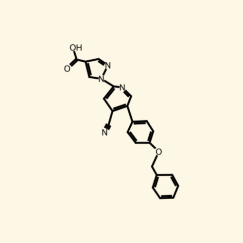 N#Cc1cc(-n2cc(C(=O)O)cn2)ncc1-c1ccc(OCc2ccccc2)cc1